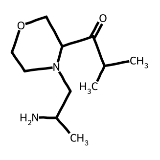 CC(N)CN1CCOCC1C(=O)C(C)C